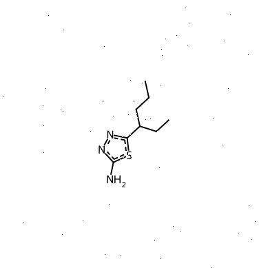 CCCC(CC)c1nnc(N)s1